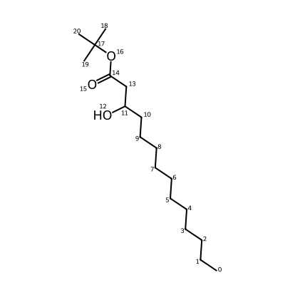 CCCCCCCCCCCC(O)CC(=O)OC(C)(C)C